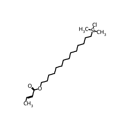 CC=CC(=O)OCCCCCCCCCCCCCC[Si](C)(C)Cl